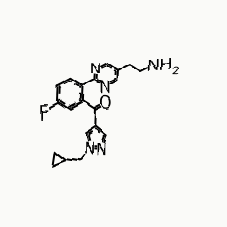 NCCc1cnc(-c2ccc(F)cc2C(=O)c2cnn(CC3CC3)c2)nc1